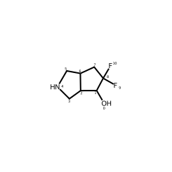 OC1C2CNCC2CC1(F)F